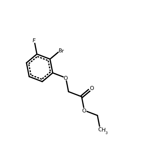 CCOC(=O)COc1cccc(F)c1Br